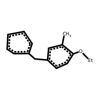 CCOc1ccc(Cc2ccccc2)cc1C